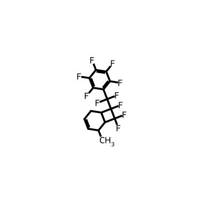 CC1C=CCC2C1C(F)(F)C2(F)C(F)(F)c1c(F)c(F)c(F)c(F)c1F